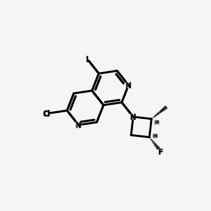 C[C@@H]1[C@H](F)CN1c1ncc(I)c2cc(Cl)ncc12